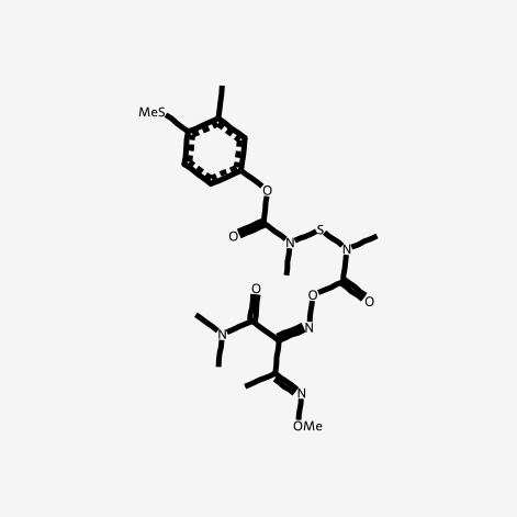 CON=C(C)C(=NOC(=O)N(C)SN(C)C(=O)Oc1ccc(SC)c(C)c1)C(=O)N(C)C